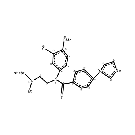 CCCCCCCN(CC)CCN(C(=O)c1ccc(-n2ccnc2)cc1)c1ccc(OC)c(Cl)c1